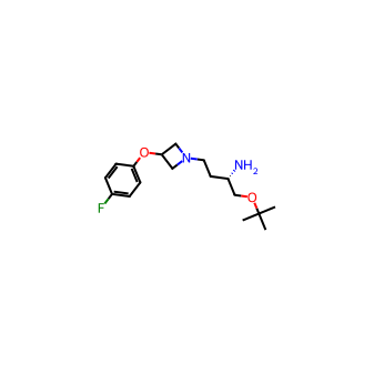 CC(C)(C)OC[C@@H](N)CCN1CC(Oc2ccc(F)cc2)C1